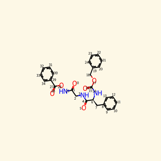 O=C(CNC(=O)[C@H](Cc1ccccc1)NC(=O)OCc1ccccc1)NOC(=O)c1ccccc1